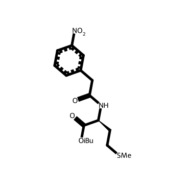 CSCC[C@H](NC(=O)Cc1cccc([N+](=O)[O-])c1)C(=O)OCC(C)C